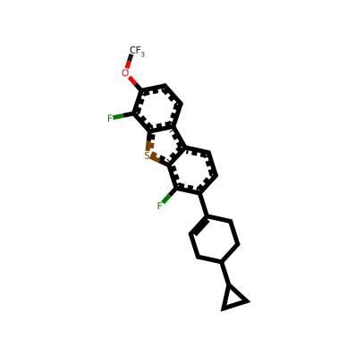 Fc1c(OC(F)(F)F)ccc2c1sc1c(F)c(C3=CCC(C4CC4)CC3)ccc12